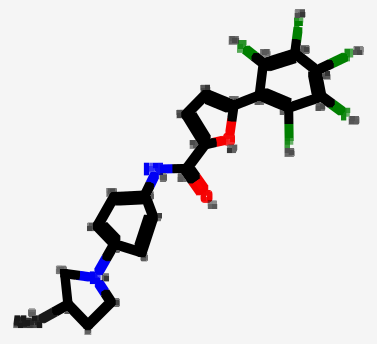 CNC1CCN(c2ccc(NC(=O)c3ccc(-c4c(F)c(F)c(F)c(F)c4F)o3)cc2)C1